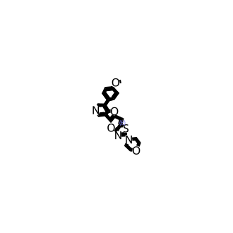 COc1ccc(-c2cncc3cc(/C=C4/SC(N5CCOCC5)=NC4=O)oc23)cc1